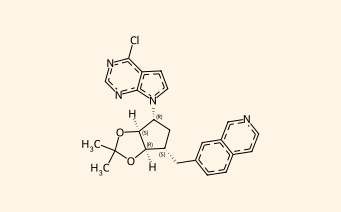 CC1(C)O[C@@H]2[C@@H](Cc3ccc4ccncc4c3)C[C@@H](n3ccc4c(Cl)ncnc43)[C@@H]2O1